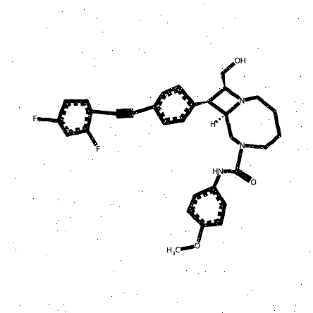 COc1ccc(NC(=O)N2CCCCN3[C@H](CO)[C@H](c4ccc(C#Cc5ccc(F)cc5F)cc4)[C@@H]3C2)cc1